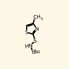 Cc1csc(SNC(C)(C)C)n1